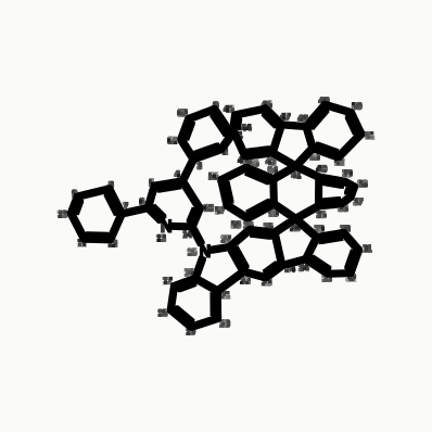 c1ccc(-c2cc(-c3ccccc3)nc(-n3c4ccccc4c4cc5c(cc43)C3(c4ccccc4-5)c4ccccc4C4(c5ccccc5-c5ccccc54)c4ccccc43)c2)cc1